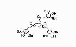 CC(=O)OCC(COC(=O)CCc1cc(C(C)(C)C)c(O)c(C(C)(C)C)c1)(COC(=O)CCc1cc(C(C)(C)C)c(O)c(C(C)(C)C)c1)COC(=O)CCc1cc(C(C)(C)C)c(O)c(C(C)(C)C)c1